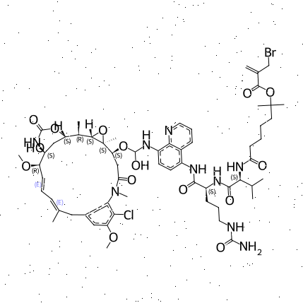 C=C(CBr)C(=O)OC(C)(C)CCCCC(=O)N[C@H](C(=O)N[C@@H](CCCNC(N)=O)C(=O)Nc1ccc(NC(O)O[C@H]2CC(=O)N(C)c3cc(cc(OC)c3Cl)C/C(C)=C/C=C/[C@@H](OC)[C@@]3(O)C[C@H](OC(=O)N3)[C@@H](C)[C@@H]3O[C@@]23C)c2ncccc12)C(C)C